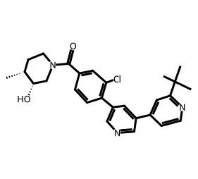 C[C@@H]1CCN(C(=O)c2ccc(-c3cncc(-c4ccnc(C(C)(C)C)c4)c3)c(Cl)c2)C[C@@H]1O